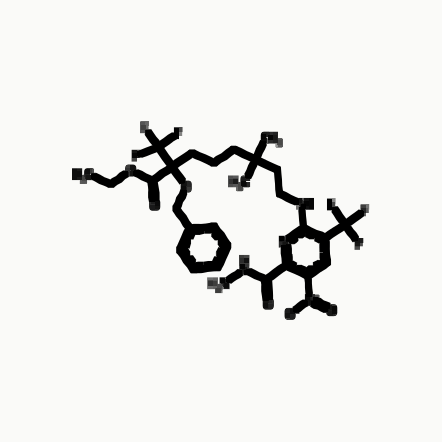 CCOC(=O)C(CCCC(C)(C)CCNc1nc(C(=O)NN)c([N+](=O)[O-])cc1C(F)(F)F)(OCc1ccccc1)C(F)(F)F